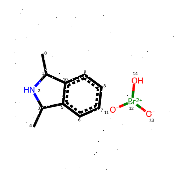 CC1NC(C)c2ccccc21.[O-][Br+2]([O-])O